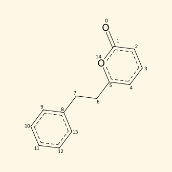 O=c1cccc(CCc2ccccc2)o1